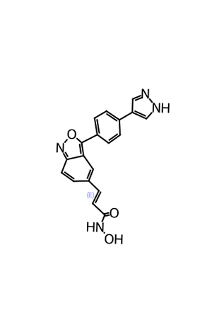 O=C(/C=C/c1ccc2noc(-c3ccc(-c4cn[nH]c4)cc3)c2c1)NO